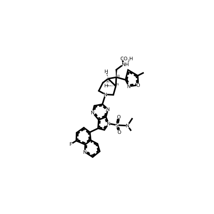 Cc1cc([C@@]2(CNC(=O)O)[C@@H]3CCN(c4cnc5c(-c6ccc(F)c7ncccc67)cn(S(=O)(=O)N(C)C)c5n4)C[C@@H]32)no1